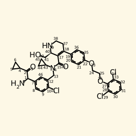 NC(C(=O)C1CC1)c1ccc(Cl)c(CN(C(=O)C2=C(c3ccc(OCCOc4c(Cl)cccc4Cl)cc3)CCN[C@@H]2CO)C2CC2)c1